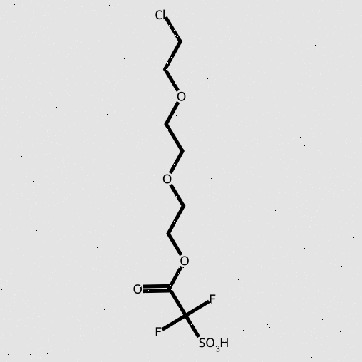 O=C(OCCOCCOCCCl)C(F)(F)S(=O)(=O)O